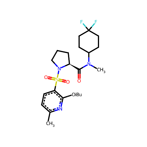 Cc1ccc(S(=O)(=O)N2CCC[C@H]2C(=O)N(C)C2CCC(F)(F)CC2)c(OCC(C)C)n1